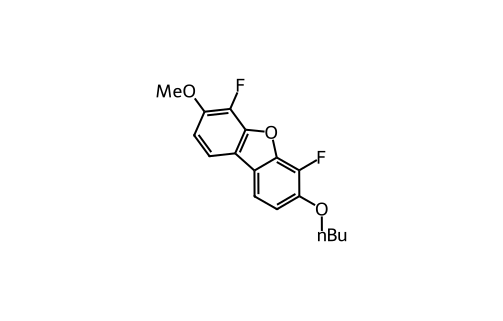 CCCCOc1ccc2c(oc3c(F)c(OC)ccc32)c1F